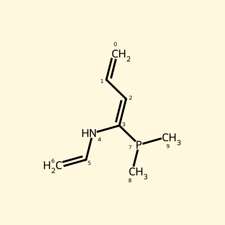 C=C/C=C(\NC=C)P(C)C